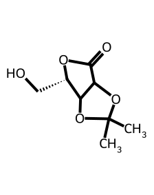 CC1(C)OC2C(=O)O[C@@H](CO)C2O1